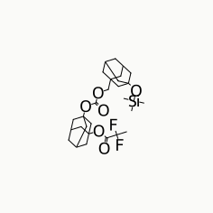 CC(F)(F)C(=O)OC12CC3CC(CC(OC(=O)OCC45CC6CC(C4)CC(O[Si](C)(C)C)(C6)C5)(C3)C1)C2